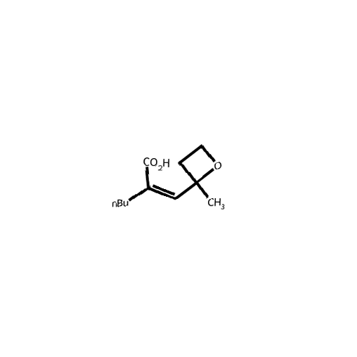 CCCCC(=CC1(C)CCO1)C(=O)O